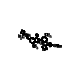 CO[C@H]1C[C@@](c2cc(C)cc(N3Cc4c(cc(CNC5(C)CCC5)cc4C(F)(F)F)C3=O)c2)(c2nncn2C)C1